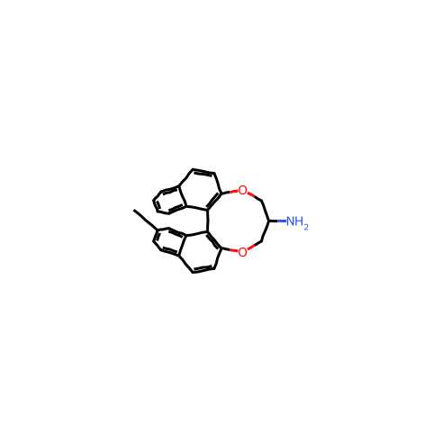 Cc1ccc2ccc3c(c2c1)-c1c(ccc2ccccc12)OCC(N)CO3